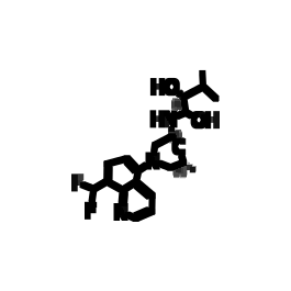 CC(C)[C@H](O)C(O)N[C@@H]1C[C@H](C)CN(c2ccc(C(F)F)c3ncccc23)C1